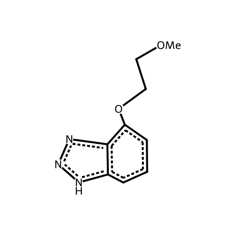 COCCOc1cccc2[nH]nnc12